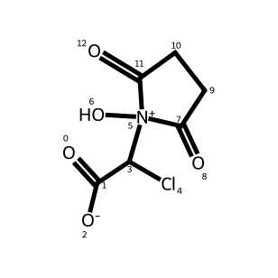 O=C([O-])C(Cl)[N+]1(O)C(=O)CCC1=O